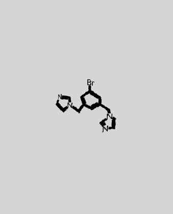 Brc1cc(Cn2ccnc2)cc(Cn2ccnc2)c1